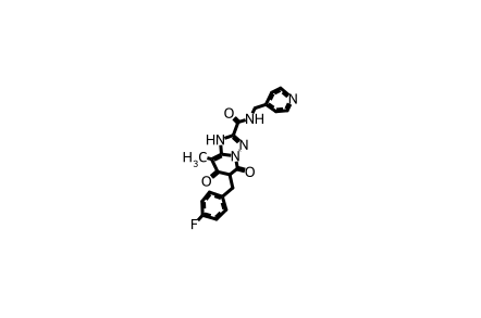 CC1=C2NC(C(=O)NCc3ccncc3)=NN2C(=O)C(Cc2ccc(F)cc2)C1=O